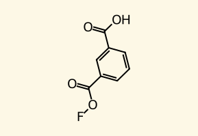 O=C(O)c1cccc(C(=O)OF)c1